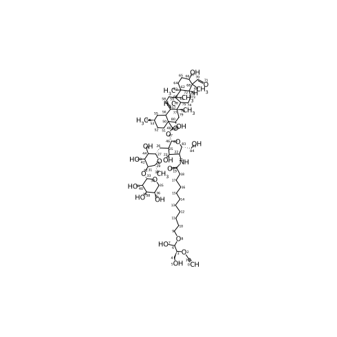 C#CO[C@@H](CO)C(O)OCCCCCCCCCCC(=O)NC1C(O)C(C[C@@H]2O[C@H](C)C(O[C@@H]3OC[C@@H](O)C(O)C3O)C(O)C2O)[C@H](OC(=O)C23CC[C@@H](C)CC2C2=CCC4(C)C5(C)CCC(O)C(C)(C=O)[C@@H]5CC[C@@]4(C)[C@]2(C)C[C@H]3O)O[C@@H]1CO